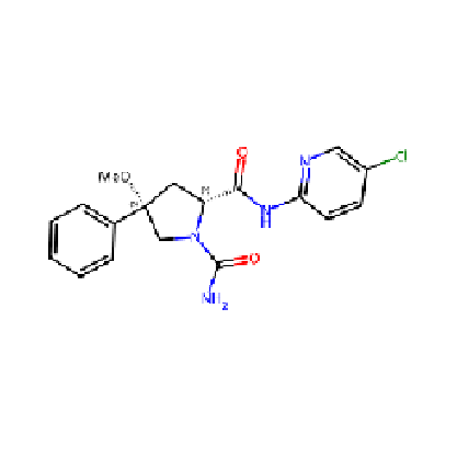 CO[C@]1(c2ccccc2)C[C@H](C(=O)Nc2ccc(Cl)cn2)N(C(N)=O)C1